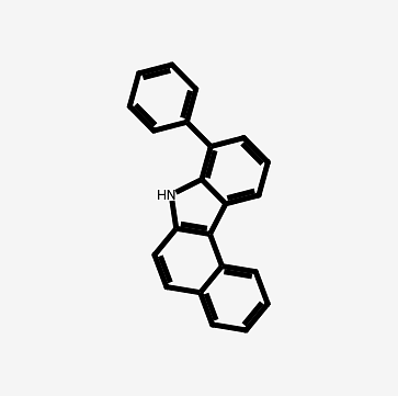 c1ccc(-c2cccc3c2[nH]c2ccc4ccccc4c23)cc1